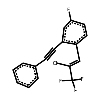 Fc1ccc(C=C(Cl)C(F)(F)F)c(C#Cc2ccccc2)c1